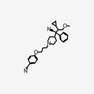 COCC(C1CC1)C(C#N)(c1ccccc1)C1CCN(CCCOc2ccc(C#N)cc2)CC1